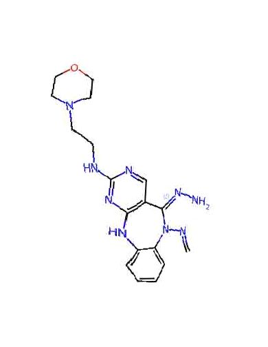 C=NN1/C(=N\N)c2cnc(NCCN3CCOCC3)nc2Nc2ccccc21